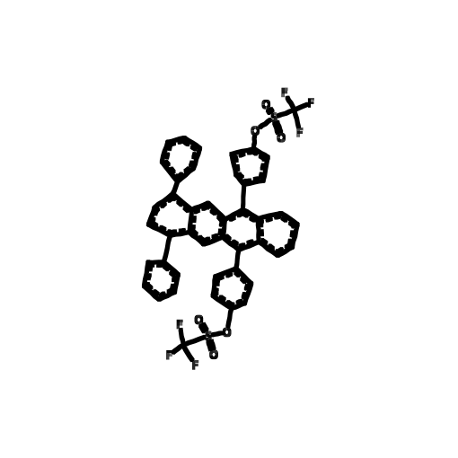 O=S(=O)(Oc1ccc(-c2c3ccccc3c(-c3ccc(OS(=O)(=O)C(F)(F)F)cc3)c3cc4c(-c5ccccc5)ccc(-c5ccccc5)c4cc23)cc1)C(F)(F)F